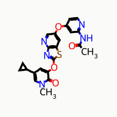 CC(=O)Nc1cc(Oc2cnc3nc(Oc4cc(C5CC5)cn(C)c4=O)sc3c2)ccn1